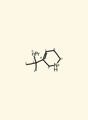 CCCC(C)(C)C1=CCCNC1